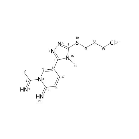 CC(=N)n1cc(-c2nnc(SCCCCl)n2C)ccc1=N